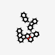 c1ccc(-c2ccccc2N(c2ccc3c(c2)-c2c4ccccc4cc4cccc-3c24)c2ccc3c(c2)c2ccccc2n3-c2ccc3ccccc3c2)cc1